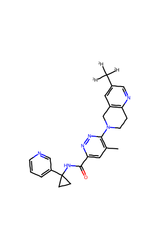 [2H]C([2H])([2H])c1cnc2c(c1)CN(c1nnc(C(=O)NC3(c4cccnc4)CC3)cc1C)CC2